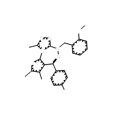 COc1ccccc1CN1N=C(c2ccc(Cl)cc2)c2c(sc(C)c2C)-n2c(C)nnc21